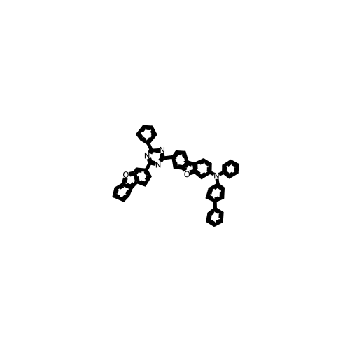 c1ccc(-c2ccc(N(c3ccccc3)c3ccc4c(c3)oc3cc(-c5nc(-c6ccccc6)nc(-c6ccc7c(c6)oc6ccccc67)n5)ccc34)cc2)cc1